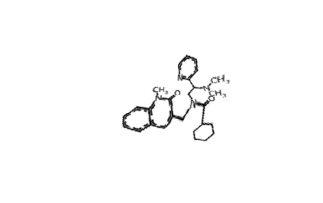 CN(C)C(CN(Cc1cc2ccccc2n(C)c1=O)C(=O)C1CCCCC1)c1ccccn1